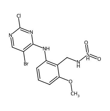 COc1cccc(Nc2nc(Cl)ncc2Br)c1CN[SH](=O)=O